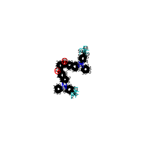 FC(F)(F)c1ccc(N(c2ccccc2)c2ccc3cc4c(cc3c2)oc2ccc3oc5cc6cc(N(c7ccccc7)c7ccc(C(F)(F)F)cc7)ccc6cc5c3c24)cc1